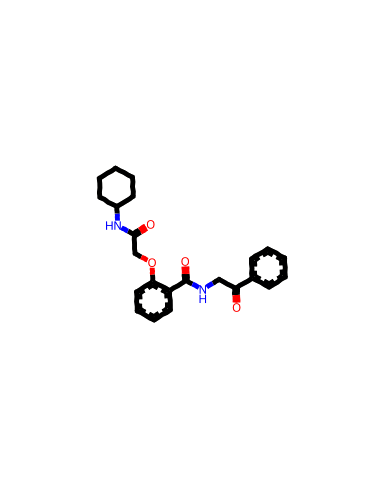 O=C(COc1ccccc1C(=O)NCC(=O)c1ccccc1)NC1CCCCC1